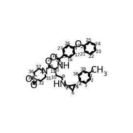 Cc1ccc([C@@H]2C[C@H]2NCC[C@H](NC(=O)c2ccc(Oc3ccccc3)cc2)C(=O)N2CCS(=O)(=O)CC2)cc1